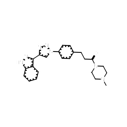 CN1CCN(C(=O)CCc2ccc(-n3cc(-c4n[nH]c5ccccc45)nn3)cc2)CC1